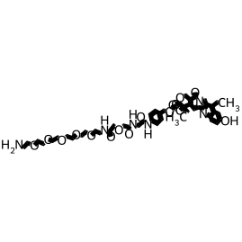 CCc1c2c(nc3ccc(O)cc13)-c1cc3c(c(=O)n1C2)COC(=O)C3(CC)OC(=O)OCc1ccc(NC(=O)CNC(=O)COCC(=O)NCCOCCOCCOCCOCCOCCN)cc1